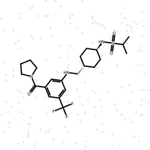 CC(C)S(=O)(=O)N[C@H]1CC[C@H](CNc2cc(C(=O)N3CCCC3)cc(C(F)(F)F)c2)CC1